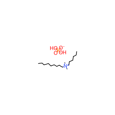 CCCCCCCCC[N+](C)(C)CCCCCC.O=P([O-])(O)O